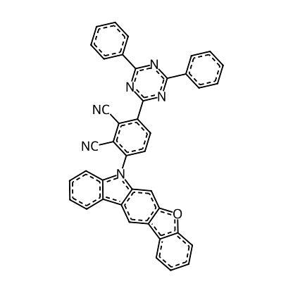 N#Cc1c(-c2nc(-c3ccccc3)nc(-c3ccccc3)n2)ccc(-n2c3ccccc3c3cc4c(cc32)oc2ccccc24)c1C#N